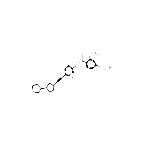 COc1cc(C(=O)O)ccc1NS(=O)(=O)c1ccc(C#CC2CCC(C3CCCC3)C2)nc1